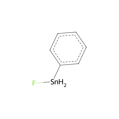 [F][SnH2][c]1ccccc1